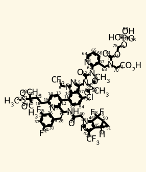 CN(C(=O)N(c1nn(CC(F)(F)F)c2c(-c3ccc(CCC(C)(C)S(C)(=O)=O)nc3[C@H](Cc3cc(F)cc(F)c3)NC(=O)Cn3nc(C(F)(F)F)c4c3C(F)(F)C3C[C@H]43)ccc(Cl)c12)S(C)(=O)=O)c1ncccc1CN(CC(=O)O)C(=O)OCOP(=O)(O)O